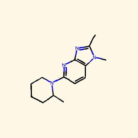 Cc1nc2nc(N3CCCCC3C)ccc2n1C